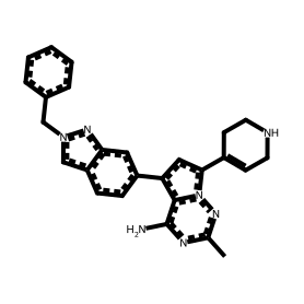 Cc1nc(N)c2c(-c3ccc4cn(Cc5ccccc5)nc4c3)cc(C3=CCNCC3)n2n1